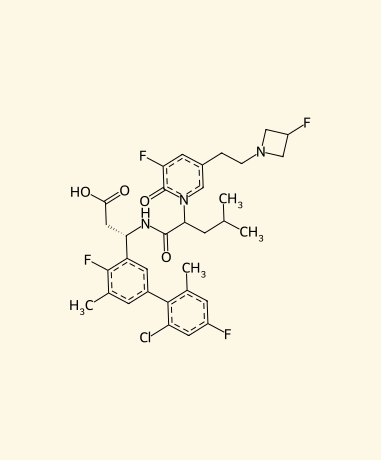 Cc1cc(-c2c(C)cc(F)cc2Cl)cc([C@H](CC(=O)O)NC(=O)C(CC(C)C)n2cc(CCN3CC(F)C3)cc(F)c2=O)c1F